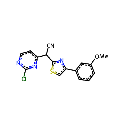 COc1cccc(-c2csc(C(C#N)c3ccnc(Cl)n3)n2)c1